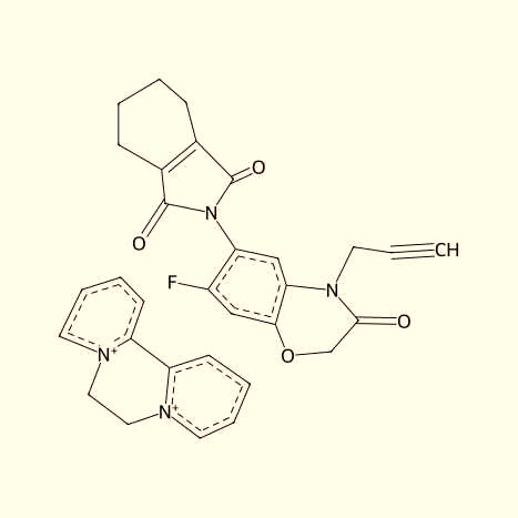 C#CCN1C(=O)COc2cc(F)c(N3C(=O)C4=C(CCCC4)C3=O)cc21.c1cc[n+]2c(c1)-c1cccc[n+]1CC2